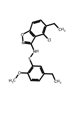 CCc1ccc(OC)c(SNc2noc3ccc(CC)c(Cl)c23)c1